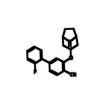 N#Cc1ccc(-c2ccccc2F)cc1OC1CC2CCC(C1)N2